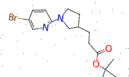 CC(C)(C)OC(=O)CCC1CCN(c2ccc(Br)cn2)C1